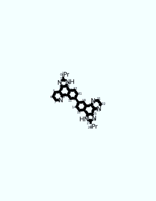 CC(C)c1nc2c3cccnc3c3cc(-c4ccc5c(c4)c4nccnc4c4nc(C(C)C)[nH]c54)ccc3c2[nH]1